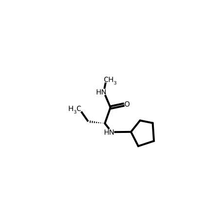 CC[C@@H](NC1CCCC1)C(=O)NC